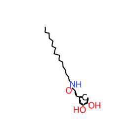 CCCCCCCCCCCCCCCCNC(=O)C=Cc1ccc(O)c(O)c1